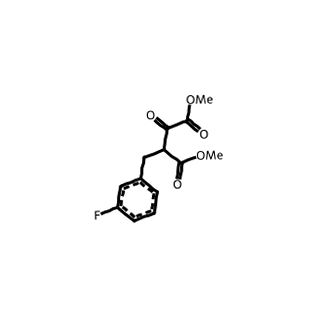 COC(=O)C(=O)C(Cc1cccc(F)c1)C(=O)OC